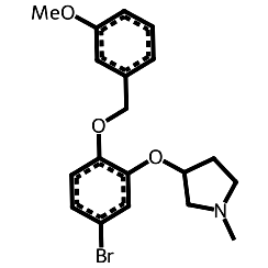 COc1cccc(COc2ccc(Br)cc2OC2CCN(C)C2)c1